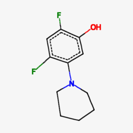 Oc1cc(N2CCCCC2)c(F)cc1F